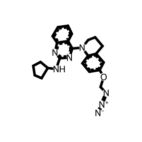 [N-]=[N+]=NCOc1ccc2c(c1)CCCN2c1nc(NC2CCCC2)nc2ccccc12